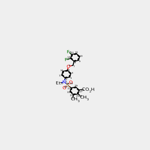 CCN(c1ccc(OCc2cccc(F)c2F)cc1)S(=O)(=O)c1cc(C)c(C)c(C(=O)O)c1